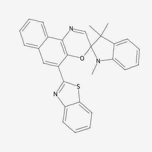 CN1c2ccccc2C(C)(C)C12C=Nc1c(c(-c3nc4ccccc4s3)cc3ccccc13)O2